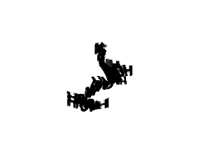 Cc1cc(C)c(CNC(=O)c2cc(-c3ccc(N4CCN(CCNC(=O)CCC(=O)NC(C(=O)N5C[C@H](O)C[C@H]5C(=O)NCc5ccc(-c6scnc6C)cc5)C(C)(C)C)CC4)nc3)cc(NC(C)C)c2C=N)c(=O)[nH]1